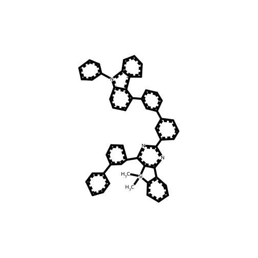 C[Si]1(C)c2ccccc2-c2nc(-c3cccc(-c4cccc(-c5cccc6c5c5ccccc5n6-c5ccccc5)c4)c3)nc(-c3cccc(-c4ccccc4)c3)c21